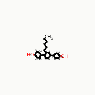 CCCCCCc1cc(-c2ccc(O)cc2)ccc1-c1ccc(O)cc1